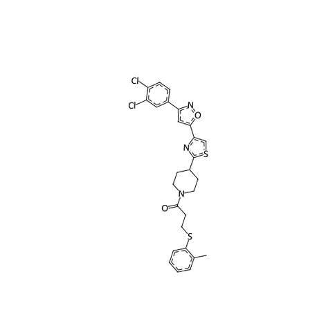 Cc1ccccc1SCCC(=O)N1CCC(c2nc(-c3cc(-c4ccc(Cl)c(Cl)c4)no3)cs2)CC1